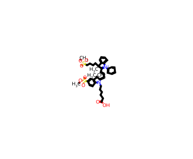 COS(=O)(=O)CCCCC1(C)C(/C=C/C=C2/N(CCCCCC(=O)O)c3ccc(S(=O)(=O)OC)cc3C2(C)C)=[N+](c2ccccc2)c2ccccc21